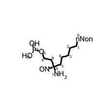 CCCCCCCCCCCCCC[C@](N)(CCOP(O)O)N=O